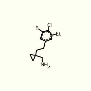 CCc1cc(CCC2(CN)CC2)cc(F)c1Cl